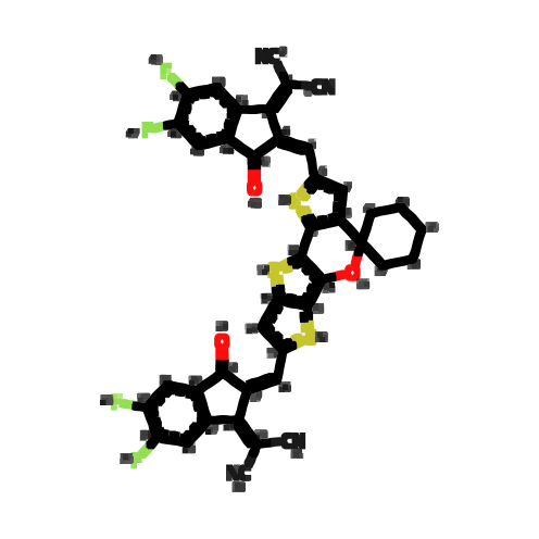 N#CC(C#N)=C1/C(=C/c2cc3c(s2)-c2sc4cc(/C=C5\C(=O)c6cc(F)c(F)cc6C5=C(C#N)C#N)sc4c2OC32CCCCC2)C(=O)c2cc(F)c(F)cc21